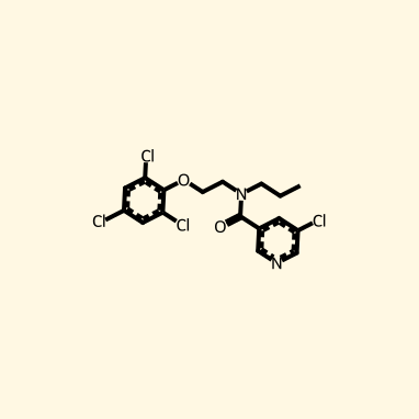 CCCN(CCOc1c(Cl)cc(Cl)cc1Cl)C(=O)c1cncc(Cl)c1